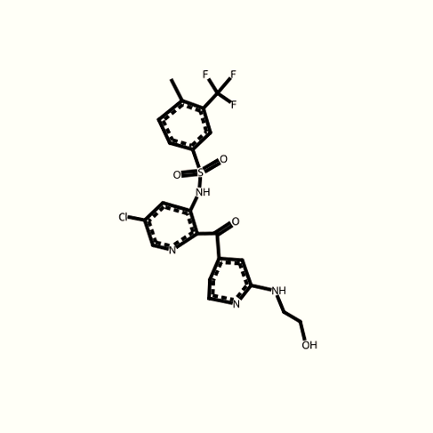 Cc1ccc(S(=O)(=O)Nc2cc(Cl)cnc2C(=O)c2ccnc(NCCO)c2)cc1C(F)(F)F